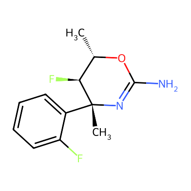 C[C@@H]1OC(N)=N[C@](C)(c2ccccc2F)[C@H]1F